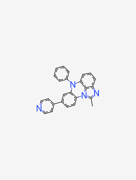 Cc1nc2cccc3c2n1-c1ccc(-c2ccncc2)cc1N3c1ccccc1